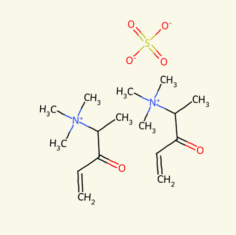 C=CC(=O)C(C)[N+](C)(C)C.C=CC(=O)C(C)[N+](C)(C)C.O=S(=O)([O-])[O-]